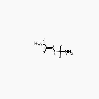 CC(=CCC(C)(C)N)C(=O)O